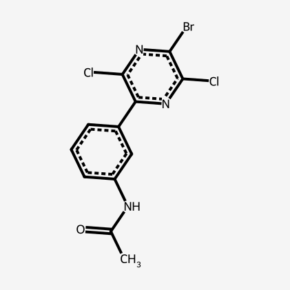 CC(=O)Nc1cccc(-c2nc(Cl)c(Br)nc2Cl)c1